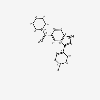 CN1CC=C(c2c[nH]c3ccc(C(=O)N4CCCCC4)cc23)CC1